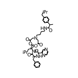 CC(C)Cc1ccc(C(C)C(=O)NCCCCN2CC(=O)OB([C@H](CC(C)C)NC(=O)[C@H](Cc3ccccc3)NC(=O)c3cnccn3)OC(=O)C2)cc1